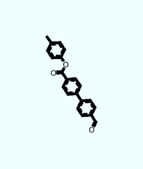 Cc1ccc(OC(=O)c2ccc(-c3ccc(C=O)cc3)cc2)cc1